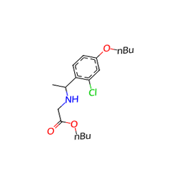 CCCCOC(=O)CNC(C)c1ccc(OCCCC)cc1Cl